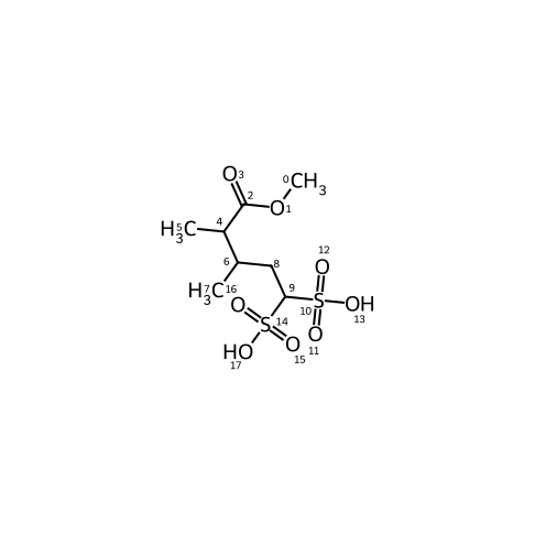 COC(=O)C(C)C(C)CC(S(=O)(=O)O)S(=O)(=O)O